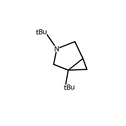 CC(C)(C)N1CC2CC2(C(C)(C)C)C1